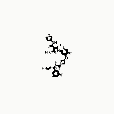 Cc1nn(-c2cc(OC3CN(C(=O)N[C@@H](CC=N)c4cc(F)cc(F)c4)C3)c(F)cn2)c(C)c1C(=O)N[C@H]1CCOC1